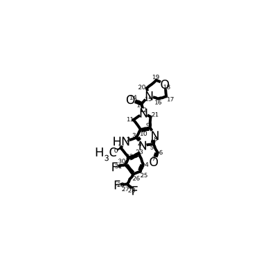 C[C@@H](Nc1nc(C=O)nc2c1CN(C(=O)N1CCOCC1)C2)c1cccc(C(F)F)c1F